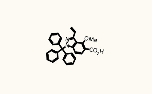 C=Cc1nn(C(c2ccccc2)(c2ccccc2)c2ccccc2)c2ccc(C(=O)O)c(OC)c12